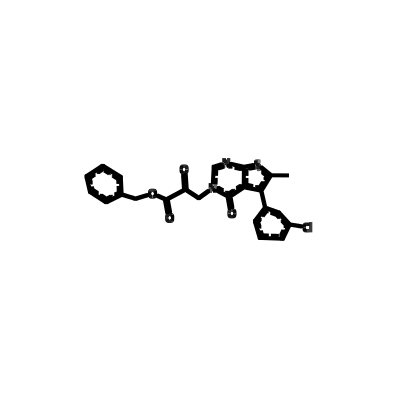 Cc1sc2ncn(CC(=O)C(=O)OCc3ccccc3)c(=O)c2c1-c1cccc(Cl)c1